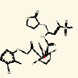 Cc1c(Cl)cccc1NCC(=O)N1[C@H]2CC[C@@H]([C@@H]1C(=O)N[C@H](/C=C(\F)S(C)(=O)=O)C[C@@H]1CCNC1=O)C(F)(F)C2